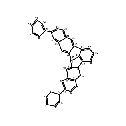 C1=CCC(c2ccc3c(c2)C=C2C(C3)c3cccc4c5cc6ccc(-c7ccccc7)cc6cc5n2c34)C=C1